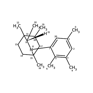 Cc1cc(C)c(C)c(N2[C@@H](C)C3(C)CCC2(C)CC3C)c1